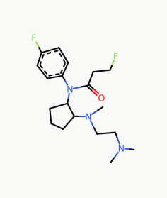 CN(C)CCN(C)C1CCCC1N(C(=O)CCF)c1ccc(F)cc1